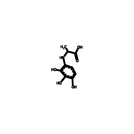 CC(Nc1ccc(O)c(O)c1O)C(=O)O